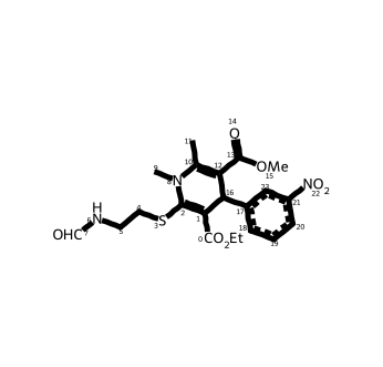 CCOC(=O)C1=C(SCCNC=O)N(C)C(C)=C(C(=O)OC)C1c1cccc([N+](=O)[O-])c1